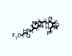 O=C(CCC(F)(F)F)NCc1cnn2cc(CNC(=O)c3conc3CCF)nc2c1